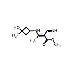 COC(=O)/C(C=N)=C(\C)NC1CC(C)(O)C1